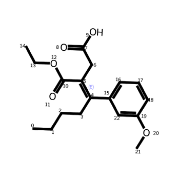 CCCC/C(=C(/CC(=O)O)C(=O)OCC)c1cccc(OC)c1